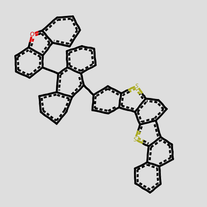 c1ccc2c(c1)ccc1c3ccc4sc5cc(-c6c7ccccc7c(-c7cccc8oc9ccccc9c78)c7ccccc67)ccc5c4c3sc21